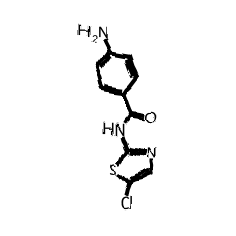 Nc1ccc(C(=O)Nc2ncc(Cl)s2)cc1